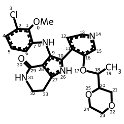 COc1c(Cl)cccc1Nc1c(-c2ccncc2OC(C)C2COCCO2)[nH]c2c1C(=O)NCC2